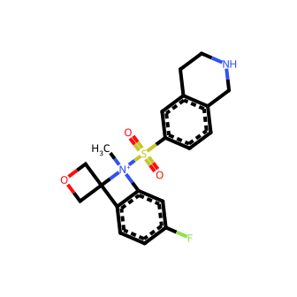 C[N+]1(S(=O)(=O)c2ccc3c(c2)CCNC3)c2cc(F)ccc2C12COC2